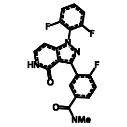 CNC(=O)c1ccc(F)c(-c2nn(-c3c(F)cccc3F)c3cc[nH]c(=O)c23)c1